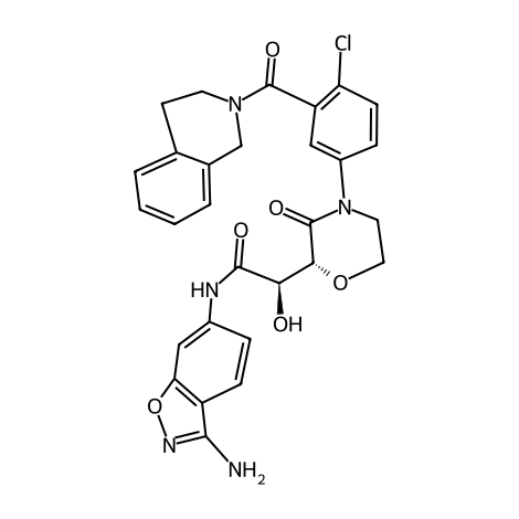 Nc1noc2cc(NC(=O)[C@H](O)[C@H]3OCCN(c4ccc(Cl)c(C(=O)N5CCc6ccccc6C5)c4)C3=O)ccc12